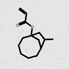 C=CC(=O)OC12CCCCCC(C1)C(C)C2